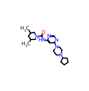 CC1CC(C)CN(C(=O)Nc2cc(N3CCN(C4CCCC4)CC3)ncn2)C1